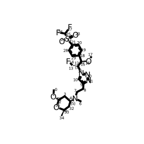 CO[C@H]1C[C@@H](N(C)CCc2cn([C@H](CF)[C@H](OC)c3ccc(S(=O)(=O)C(F)F)cc3)nn2)C[C@@H](C)O1